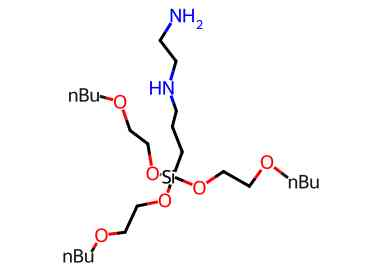 CCCCOCCO[Si](CCCNCCN)(OCCOCCCC)OCCOCCCC